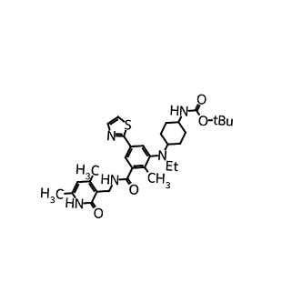 CCN(c1cc(-c2nccs2)cc(C(=O)NCc2c(C)cc(C)[nH]c2=O)c1C)C1CCC(NC(=O)OC(C)(C)C)CC1